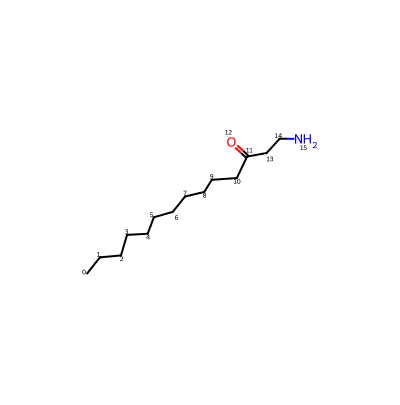 CCCCCCCCCCCC(=O)CCN